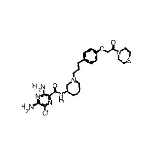 Nc1nc(N)c(C(=O)NC2CCCN(CCCc3ccc(OCC(=O)N4CCSCC4)cc3)C2)nc1Cl